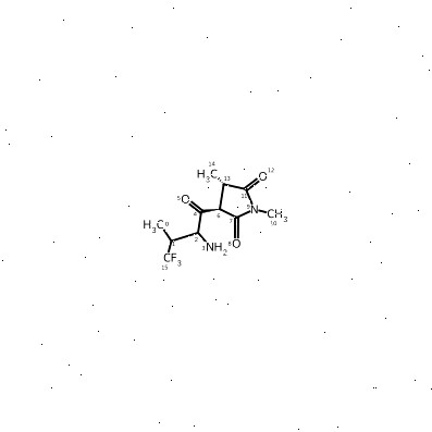 CC(C(N)C(=O)[C@@H]1C(=O)N(C)C(=O)[C@H]1C)C(F)(F)F